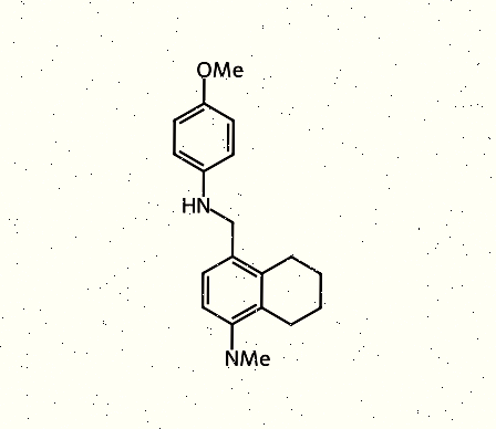 CNc1ccc(CNc2ccc(OC)cc2)c2c1CCCC2